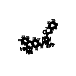 CCCn1nc(C(=O)Cc2ccccc2)nc1Cc1ccc(-c2cccnc2-c2nnn[nH]2)cc1